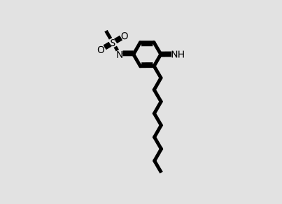 CCCCCCCCCC1=CC(=NS(C)(=O)=O)C=CC1=N